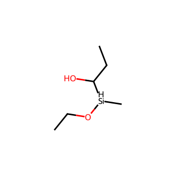 CCO[SiH](C)C(O)CC